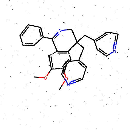 COc1cc2c(cc1OC)C(Cc1ccncc1)(Cc1ccncc1)CN=C2c1ccccc1